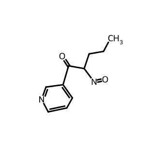 CCCC(N=O)C(=O)c1cccnc1